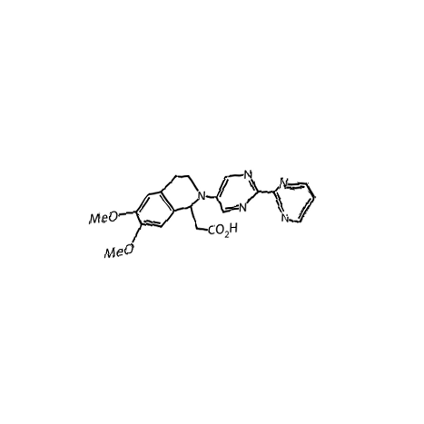 COc1cc2c(cc1OC)C(CC(=O)O)N(c1cnc(-c3ncccn3)nc1)CC2